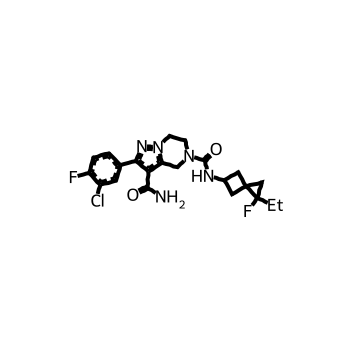 CCC1(F)CC12CC(NC(=O)N1CCn3nc(-c4ccc(F)c(Cl)c4)c(C(N)=O)c3C1)C2